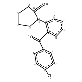 O=C(c1ccc(Cl)cc1)c1cccnc1N1CCCCC1=O